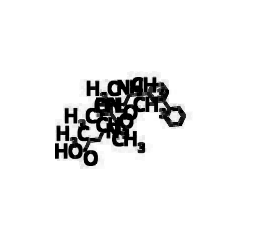 CNC(C(=O)NC(C(=O)N(C)C/C=C(\C)C(=O)O)C(C)(C)C)C(C)(C)c1cccc(-c2ccccc2)c1